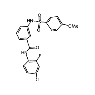 COc1ccc(S(=O)(=O)Nc2cccc(C(=O)Nc3ccc(Cl)cc3F)c2)cc1